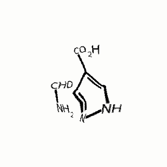 NC=O.O=C(O)c1cn[nH]c1